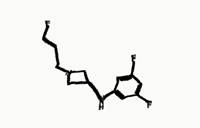 FCCCN1CC(Nc2cc(F)cc(F)c2)C1